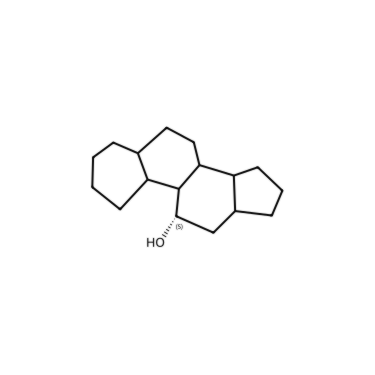 O[C@H]1CC2CCCC2C2CCC3CCCCC3C21